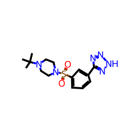 CC(C)(C)N1CCN(S(=O)(=O)c2cccc(-c3nn[nH]n3)c2)CC1